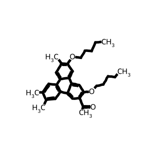 CCCCCOc1cc2c(cc1C)c1cc(C)c(C)cc1c1cc(C(C)=O)c(OCCCCC)cc21